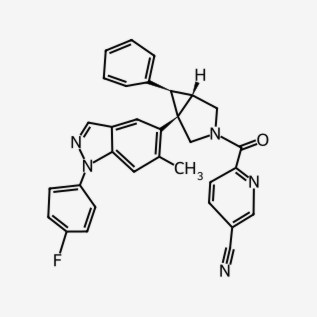 Cc1cc2c(cnn2-c2ccc(F)cc2)cc1[C@]12CN(C(=O)c3ccc(C#N)cn3)C[C@H]1[C@@H]2c1ccccc1